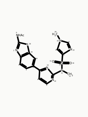 CC(=O)Nc1nc2ccc(-c3ccnc(N(C)S(=O)(=O)c4cn(C)cn4)n3)cc2s1